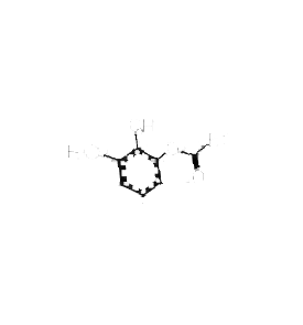 CCC(=O)Oc1cccc(O)c1O